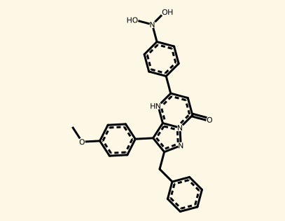 COc1ccc(-c2c(Cc3ccccc3)nn3c(=O)cc(-c4ccc(N(O)O)cc4)[nH]c23)cc1